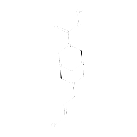 COC(=O)N1C[N@@]2CN(CC=CCl)C[N@@](C1)C2